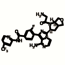 NCC(=O)N1[C@@H]2COCC2C[C@H]1c1nc(-c2ccc(C(=O)Nc3cc(C(F)(F)F)ccn3)cc2F)c2c(N)nccn12